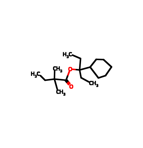 CCC(C)(C)C(=O)OC(CC)(CC)C1CCCCC1